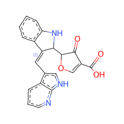 O=C(O)C1=COC(C2Nc3ccccc3/C2=C/c2c[nH]c3ncccc23)C1=O